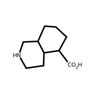 O=C(O)C1CCCC2CNCCC21